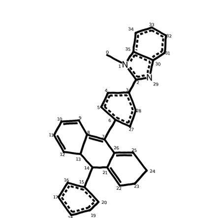 Cn1c(-c2ccc(C3=C4C=CC=CC4C(c4ccccc4)C4=CCCC=C43)cc2)nc2ccccc21